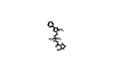 Cc1cc(-c2cnccn2)nn1CCC(C)(C)NCC(=O)N1CCCC1C#N